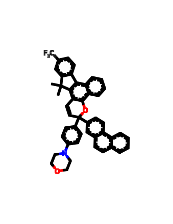 CC1(C)c2cc(C(F)(F)F)ccc2-c2c1c1c(c3ccccc23)OC(c2ccc(N3CCOCC3)cc2)(c2ccc3c(ccc4ccccc43)c2)C=C1